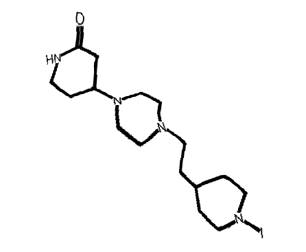 O=C1CC(N2CCN(CCC3CCN(I)CC3)CC2)CCN1